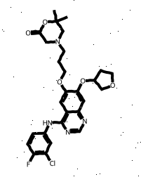 CC1(C)CN(CCCOc2cc3c(Nc4ccc(F)c(Cl)c4)ncnc3cc2OC2CCOC2)CC(=O)O1